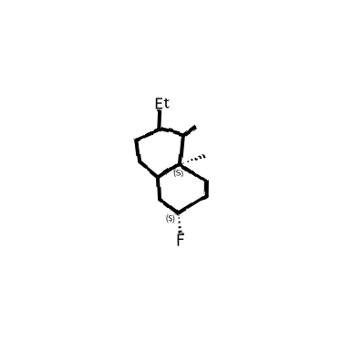 CCC1CCC2C[C@@H](F)CC[C@]2(C)C1C